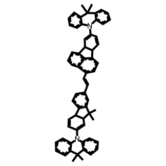 CC1(C)c2ccccc2N(C2=CC3c4cccc5c(/C=C/c6ccc7c(c6)C(C)(C)C6C=C(N8c9ccccc9C(C)(C)c9ccccc98)C=CC76)ccc(c45)C3C=C2)c2ccccc21